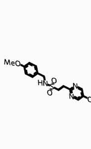 COc1ccc(CNS(=O)(=O)CCc2ncc(Cl)cn2)cc1